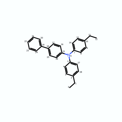 CCc1ccc(N(c2ccc(CC)cc2)c2ccc(-c3ccccc3)cc2)cc1